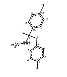 Cc1ccc(CC(C)(NN)c2ccc(C)cc2)cc1